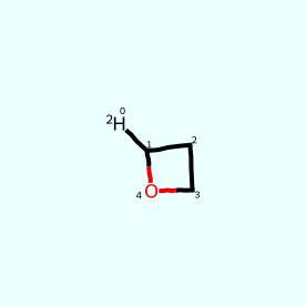 [2H]C1CCO1